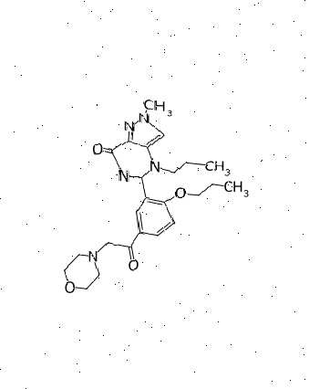 CCCOc1ccc(C(=O)CN2CCOCC2)cc1C1[N]C(=O)c2nn(C)cc2N1CCC